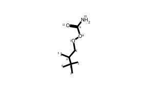 CC(C)(C)C(I)COOC(N)=O